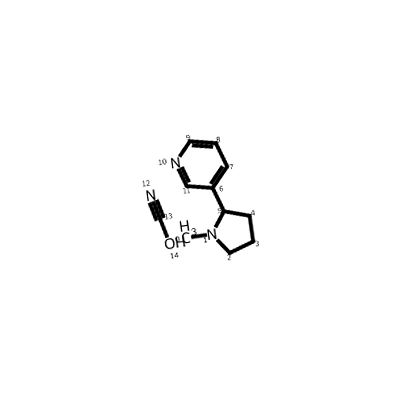 CN1CCCC1c1cccnc1.N#CO